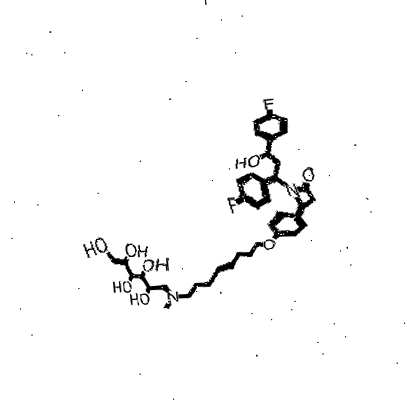 CN(CCCCCCCCOc1ccc(C2CC(=O)N2C(CC(O)c2ccc(F)cc2)c2ccc(F)cc2)cc1)CC(O)C(O)C(O)C(O)CO